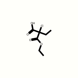 CCOC(=O)C(Cl)(CC)C(=O)O